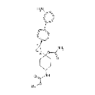 CC(C)(C)OC(=O)NC1CCC(OC(N)=O)([C@@H]2C[C@H]2c2ccc(-c3cccc(N)c3)cc2)CC1